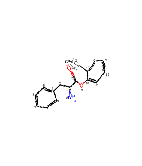 N[C@@H](Cc1ccccc1)C(=O)Oc1ccccc1C=O